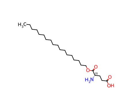 CCCCCCCCCCCCCCCCCCOC(=O)[C@@H](N)CCC(=O)O